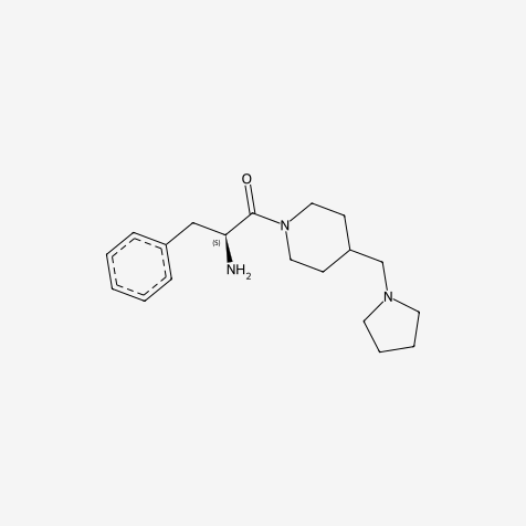 N[C@@H](Cc1ccccc1)C(=O)N1CCC(CN2CCCC2)CC1